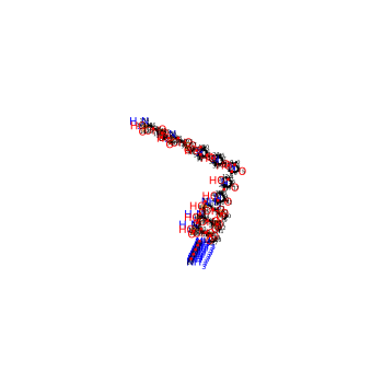 CC1(C)CC(=O)CC(C)(C)N1O.CC1(C)CC(=O)CC(C)(C)N1O.CC1(C)CC(=O)CC(C)(C)N1O.CC1(C)CC(=O)CC(C)(C)N1O.CC1(C)CC(=O)CC(C)(C)N1O.N.N.N.N.N.N.N.N.N.N.NC(CCCCP1(=O)OCCO1)P(=O)(O)O.NC(CCCCP1(=O)OCCO1)P(=O)(O)O.NC(CCCCP1(=O)OCCO1)P(=O)(O)O.NC(CCCCP1(=O)OCCO1)P(=O)(O)O.NC(CCCCP1(=O)OCCO1)P(=O)(O)O